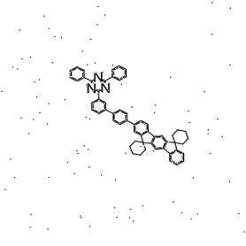 c1ccc(-c2nc(-c3ccccc3)nc(-c3cccc(-c4ccc(-c5ccc6c(c5)C5(CCCCC5)c5cc7c(cc5-6)C5(CCCCC5)c5ccccc5-7)cc4)c3)n2)cc1